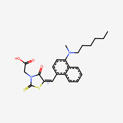 CCCCCCN(C)c1ccc(/C=C2/SC(=S)N(CC(=O)O)C2=O)c2ccccc12